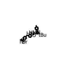 CCCC(C)(C)C(=O)N1CCC(Cc2cccc(NC(=O)Nc3cc(C(C)(C)C)nn3-c3ccc(C)cc3)c2)CC1